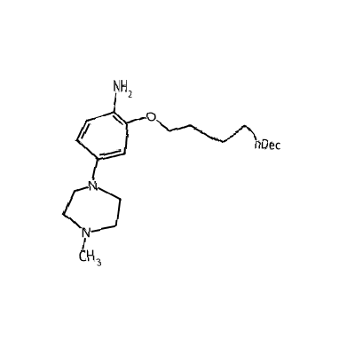 CCCCCCCCCCCCCCOc1cc(N2CCN(C)CC2)ccc1N